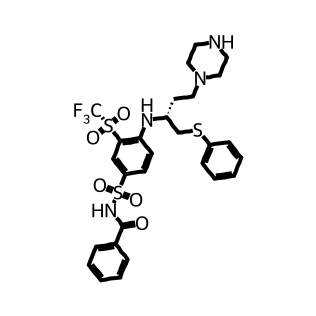 O=C(NS(=O)(=O)c1ccc(N[C@H](CCN2CCNCC2)CSc2ccccc2)c(S(=O)(=O)C(F)(F)F)c1)c1ccccc1